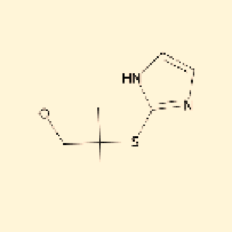 CC(C)(C[O])Sc1ncc[nH]1